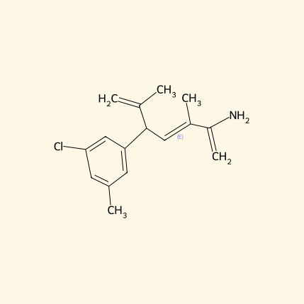 C=C(N)/C(C)=C/C(C(=C)C)c1cc(C)cc(Cl)c1